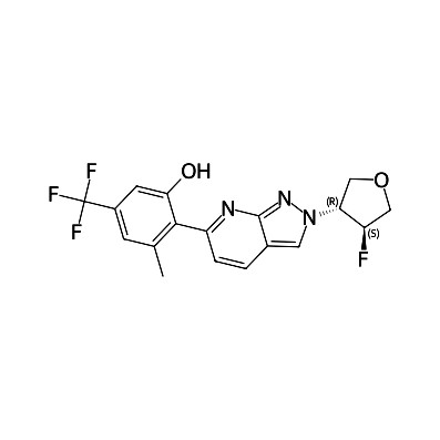 Cc1cc(C(F)(F)F)cc(O)c1-c1ccc2cn([C@@H]3COC[C@H]3F)nc2n1